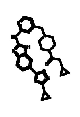 O=C(CC1CC1)N1CCN(Cc2ccnc(Nc3nc4ccc(-c5nc(C6CC6)no5)cc4[nH]3)c2)CC1